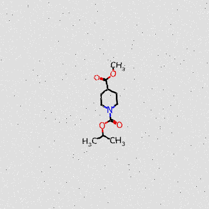 COC(=O)C1CCN(C(=O)OC(C)C)CC1